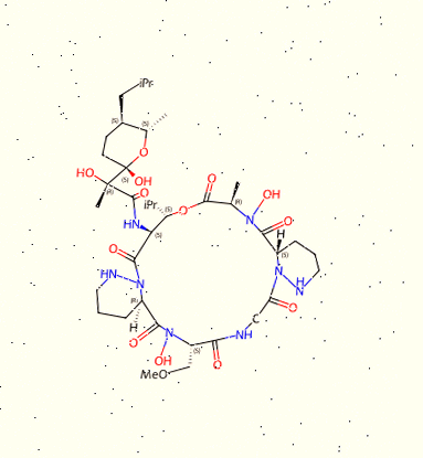 COC[C@H]1C(=O)NCC(=O)N2NCCC[C@H]2C(=O)N(O)[C@H](C)C(=O)O[C@@H](C(C)C)[C@H](NC(=O)[C@](C)(O)[C@]2(O)CC[C@@H](CC(C)C)[C@H](C)O2)C(=O)N2NCCC[C@@H]2C(=O)N1O